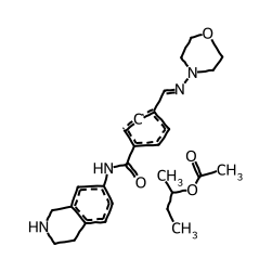 CCC(C)OC(C)=O.O=C(Nc1ccc2c(c1)CNCC2)c1ccc(C=NN2CCOCC2)cc1